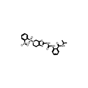 CC(C)NC(=O)c1ccccc1NC(=O)Nc1nc2c(s1)CN(S(=O)(=O)c1ccccc1[N+](=O)[O-])CC2